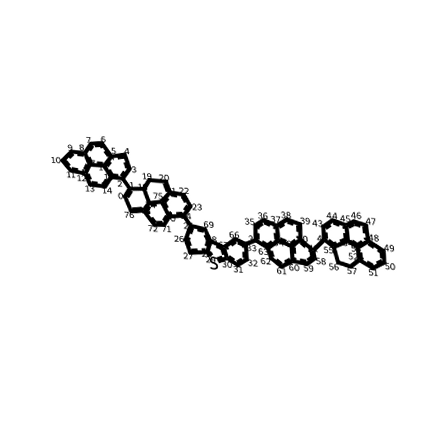 C1=C(c2ccc3ccc4cccc5ccc2c3c45)C2CC=c3ccc(-c4ccc5sc6ccc(-c7ccc8ccc9c(-c%10ccc%11ccc%12cccc%13c%12c%11c%10CC%13)ccc%10ccc7c8c%109)cc6c5c4)c4ccc(c2c34)=C1